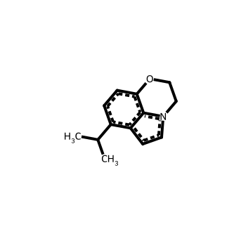 CC(C)c1ccc2c3c1ccn3CCO2